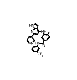 Cc1ccc(C(=O)Nc2cccc(C(F)(F)F)c2)cc1Nc1cc(-c2cccnc2)nc2[nH]ccc12